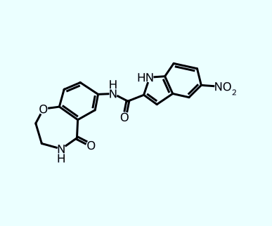 O=C(Nc1ccc2c(c1)C(=O)NCCO2)c1cc2cc([N+](=O)[O-])ccc2[nH]1